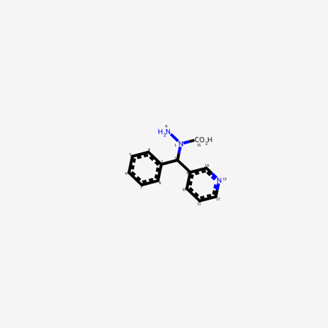 NN([C](c1ccccc1)c1cccnc1)C(=O)O